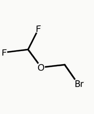 FC(F)OCBr